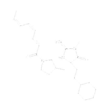 C\C=C/C=C\C=C\C(=O)N1CCC(C[C@]2(CCC3CCCCC3)NC(=N)N(C)C2=O)C1